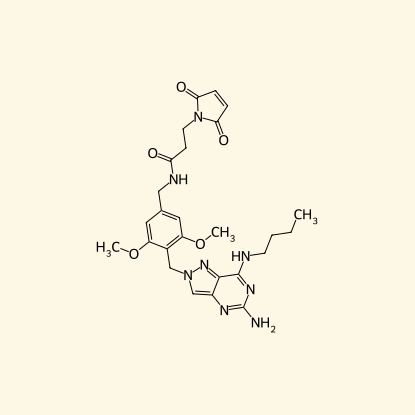 CCCCNc1nc(N)nc2cn(Cc3c(OC)cc(CNC(=O)CCN4C(=O)C=CC4=O)cc3OC)nc12